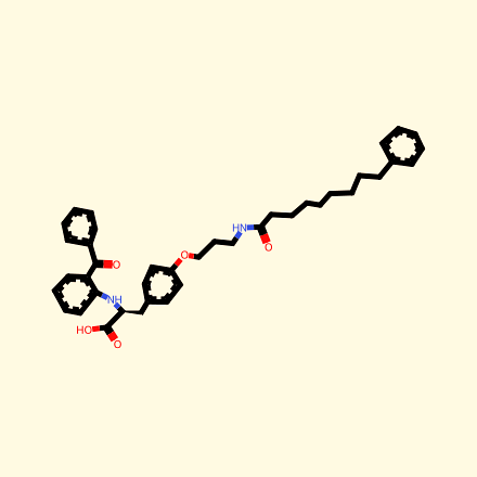 O=C(CCCCCCCCc1ccccc1)NCCCOc1ccc(C[C@H](Nc2ccccc2C(=O)c2ccccc2)C(=O)O)cc1